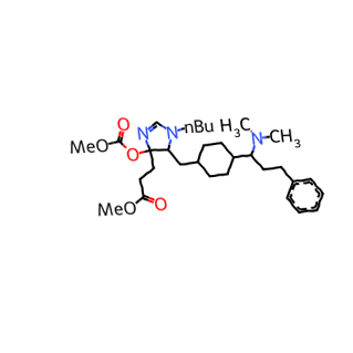 CCCCN1C=NC(CCC(=O)OC)(OC(=O)OC)C1CC1CCC(C(CCc2ccccc2)N(C)C)CC1